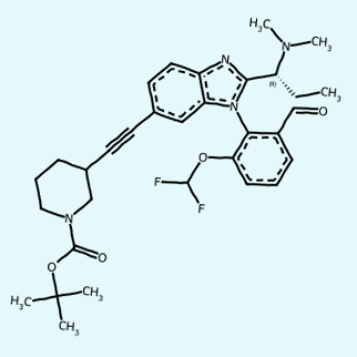 CC[C@H](c1nc2ccc(C#CC3CCCN(C(=O)OC(C)(C)C)C3)cc2n1-c1c(C=O)cccc1OC(F)F)N(C)C